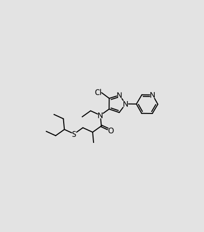 CCC(CC)SCC(C)C(=O)N(CC)c1cn(-c2cccnc2)nc1Cl